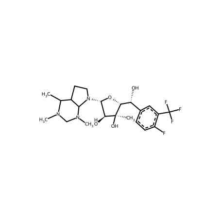 CC1C2CCN([C@@H]3O[C@H]([C@H](O)c4ccc(F)c(C(F)(F)F)c4)[C@@](C)(O)[C@H]3O)C2N(C)CN1C